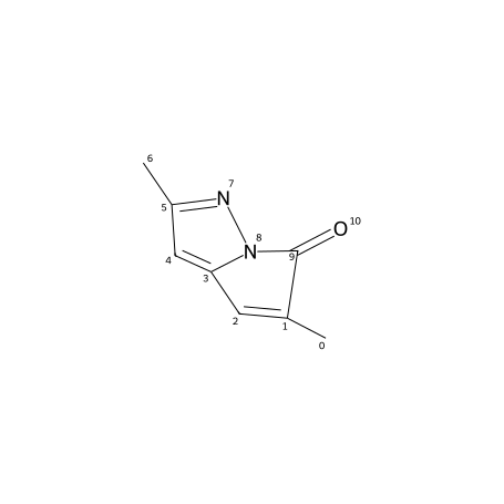 CC1=Cc2cc(C)nn2C1=O